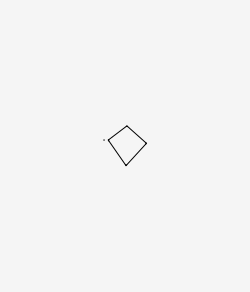 [CH]1CCC1